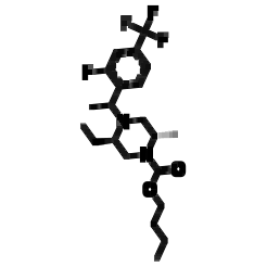 CCCCOC(=O)N1C[C@@H](CC)N(C(C)c2ccc(C(F)(F)F)cc2F)C[C@@H]1C